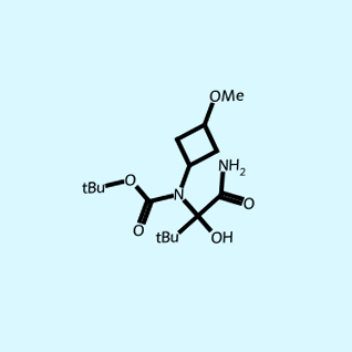 COC1CC(N(C(=O)OC(C)(C)C)C(O)(C(N)=O)C(C)(C)C)C1